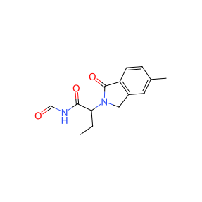 CCC(C(=O)NC=O)N1Cc2cc(C)ccc2C1=O